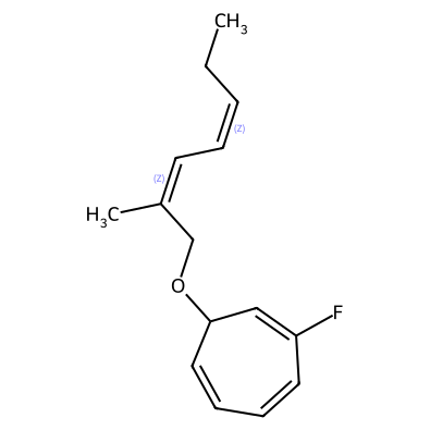 CC/C=C\C=C(\C)COC1C=CC=CC(F)=C1